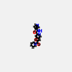 O=C(NC1CN2CCC1CC2)c1cc2oc(C(=O)N3CCCCC3)cc2cn1